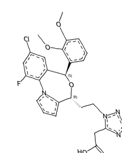 COc1cccc([C@H]2O[C@H](CCn3ncnc3CC(=O)O)c3cccn3-c3c(F)cc(Cl)cc32)c1OC